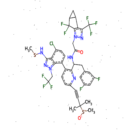 CSNc1nn(CC(F)(F)F)c2c(-c3ccc(C#CC(C)(C)[S+](C)[O-])nc3C(Cc3cc(F)cc(F)c3)NC(=O)Cn3nc(C(F)(F)F)c4c3C(F)(F)C3CC43)ccc(Cl)c12